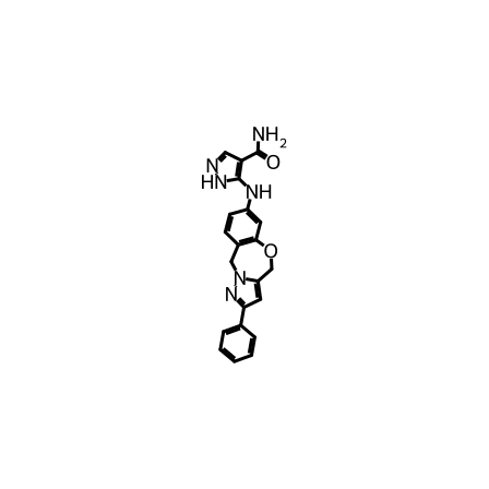 NC(=O)c1cn[nH]c1Nc1ccc2c(c1)OCc1cc(-c3ccccc3)nn1C2